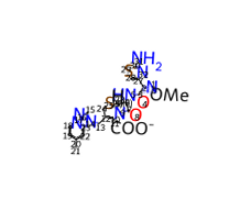 CO/N=C(\C(=O)N[C@@H]1C(=O)N2C(C(=O)[O-])=C(Cn3cn[n+]4ccc(C)cc34)CS[C@@H]12)c1csc(N)n1